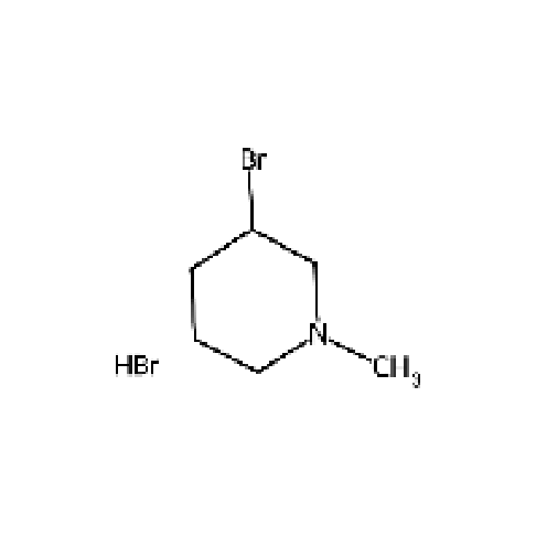 Br.CN1CCCC(Br)C1